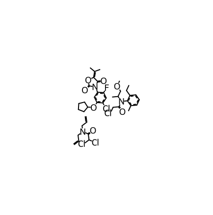 C=CCN(CC=C)C(=O)C(Cl)Cl.CC(C)=C1OC(=O)N(c2cc(OC3CCCC3)c(Cl)cc2F)C1=O.CCc1cccc(C)c1N(C(=O)CCl)C(C)COC